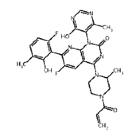 C=CC(=O)N1CCN(c2nc(=O)n(-c3c(C)ncnc3O)c3nc(-c4c(F)ccc(C)c4O)c(F)cc23)C(C)C1